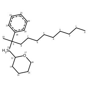 CCCCCCCCCC(C)([SiH2]C1CCCCO1)c1ccccc1